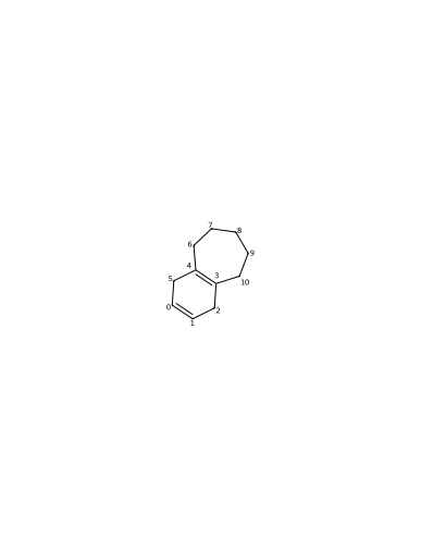 C1=CCC2=C(C1)CCCCC2